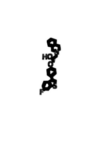 O[C@@H](COc1ccc(-c2csc3cc(F)ccc23)cc1)CN1CCc2ccccc2C1